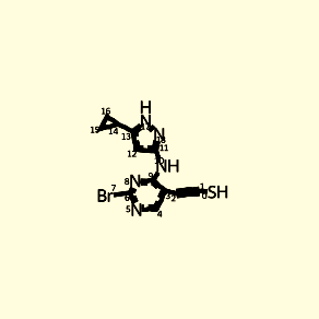 SC#Cc1cnc(Br)nc1Nc1cc(C2CC2)[nH]n1